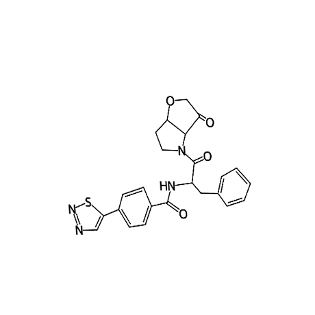 O=C(NC(Cc1ccccc1)C(=O)N1CCC2OCC(=O)C21)c1ccc(-c2cnns2)cc1